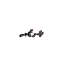 c1ccc(-c2ccc(-c3nc(-c4ccccc4)nc(-c4cccc(-c5cccc(-c6cccc(-c7ccc8c(c7)-c7ccccc7C8(c7ccccc7)c7ccccc7)c6)c5)c4)n3)cn2)cc1